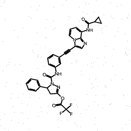 O=C(Nc1cccn2c(C#Cc3cccc(NC(=O)N4N=C(OC(=O)C(F)(F)F)CC4c4ccccc4)c3)cnc12)C1CC1